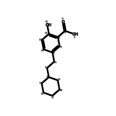 O=C(O)c1cc(CCC2CCCCC2)ccc1O